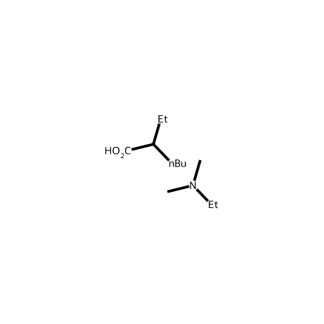 CCCCC(CC)C(=O)O.CCN(C)C